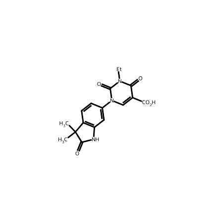 CCn1c(=O)c(C(=O)O)cn(-c2ccc3c(c2)NC(=O)C3(C)C)c1=O